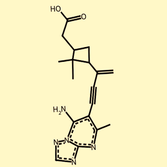 C=C(C#Cc1c(C)nc2ncnn2c1N)C1CC(CC(=O)O)C1(C)C